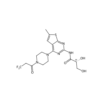 Cc1cc2c(N3CCN(C(=O)CC(F)(F)F)CC3)nc(NC(=O)[C@H](O)CO)nc2s1